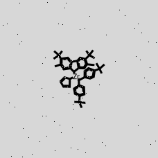 Cc1cc2c(cc1C(C)(C)C)-c1cc(C(C)(C)C)c(C)cc1[CH]2[Zr](=[C](c1ccc(C(C)(C)C)cc1)c1ccc(C(C)(C)C)cc1)[CH]1C=CC=C1